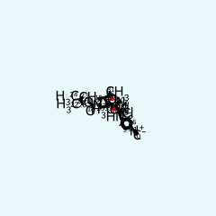 [C-]#[N+]c1ccc(Nc2ncnc(OC3C4CN(C(=O)OCC(C)(C)C)CC3C(C)OC4C)c2C)c(Cl)c1